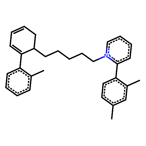 Cc1ccc(-c2cccc[n+]2CCCCCC2CC=CC=C2c2ccccc2C)c(C)c1